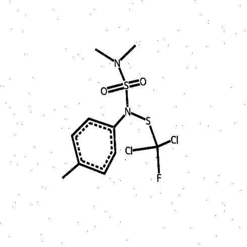 Cc1ccc(N(SC(F)(Cl)Cl)S(=O)(=O)N(C)C)cc1